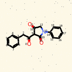 O=C(Cc1ccccc1)C1C(=O)CN(c2ccccc2)C1=O